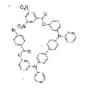 O=C(Oc1cccc(N(c2ccccc2)c2ccc(-c3ccc(N(c4ccccc4)c4cccc(OC(=O)c5cc([N+](=O)[O-])cc([N+](=O)[O-])c5)c4)cc3)cc2)c1)c1ccc(Br)cc1